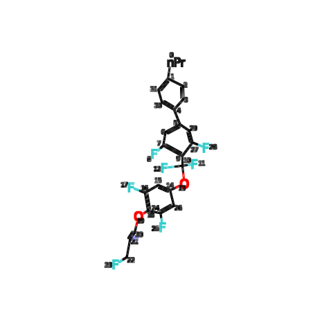 CCCc1ccc(-c2cc(F)c(C(F)(F)Oc3cc(F)c(O/C=C/CF)c(F)c3)c(F)c2)cc1